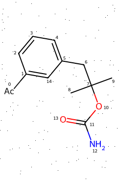 CC(=O)c1cccc(CC(C)(C)OC(N)=O)c1